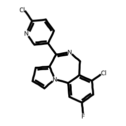 Fc1cc(Cl)c2c(c1)-n1cccc1C(c1ccc(Cl)nc1)=NC2